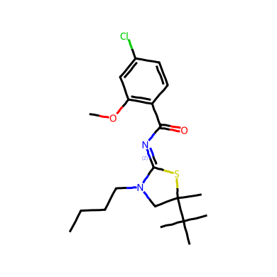 CCCCN1CC(C)(C(C)(C)C)S/C1=N\C(=O)c1ccc(Cl)cc1OC